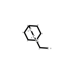 IC[N+]12CCC(CC1)CC2